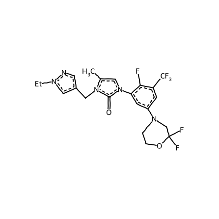 CCn1cc(Cn2c(C)cn(-c3cc(N4CCOC(F)(F)C4)cc(C(F)(F)F)c3F)c2=O)cn1